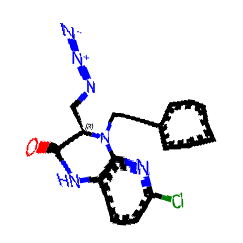 [N-]=[N+]=NC[C@@H]1C(=O)Nc2ccc(Cl)nc2N1Cc1ccccc1